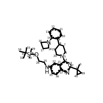 CC1(c2nc(N3CCC(c4ccccc4N4CCC4)CC3)c3cc(NCCO[Si](C)(C)C(C)(C)C)ccc3n2)CC1